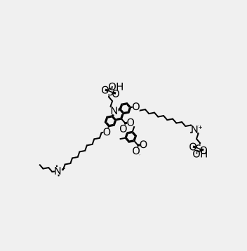 CCCC[N+](C)(C)CCCCCCCCCCCCOc1ccc2c(c1)c(C(=O)Oc1c(C)cc(C(=O)OC)cc1C)c1cc(OCCCCCCCCCCCC[N+](C)(C)CCCS(=O)(=O)O)ccc1[n+]2CCCS(=O)(=O)O